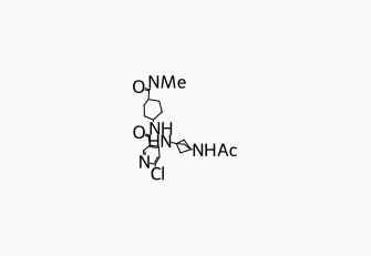 CNC(=O)C1CCC(NC(=O)c2cnc(Cl)cc2NC23CC(NC(C)=O)(C2)C3)CC1